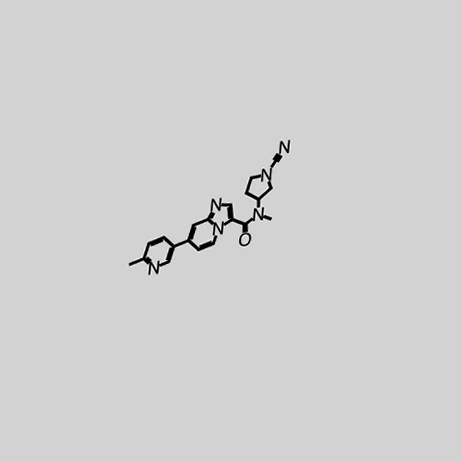 Cc1ccc(-c2ccn3c(C(=O)N(C)C4CCN(C#N)C4)cnc3c2)cn1